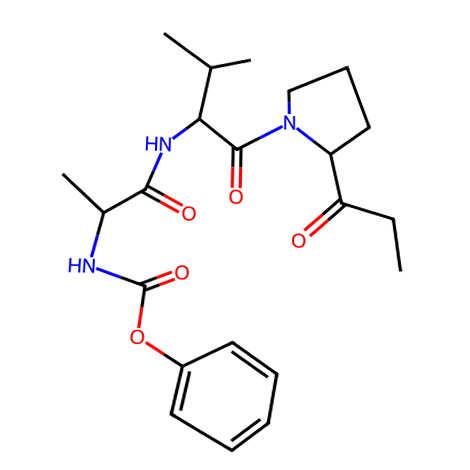 CCC(=O)C1CCCN1C(=O)C(NC(=O)C(C)NC(=O)Oc1ccccc1)C(C)C